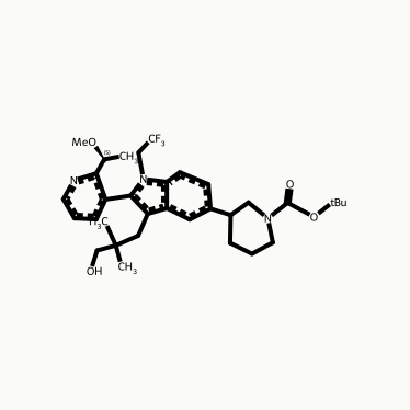 CO[C@@H](C)c1ncccc1-c1c(CC(C)(C)CO)c2cc(C3CCCN(C(=O)OC(C)(C)C)C3)ccc2n1CC(F)(F)F